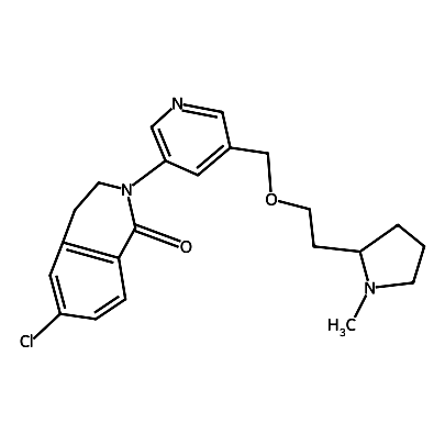 CN1CCCC1CCOCc1cncc(N2CCc3cc(Cl)ccc3C2=O)c1